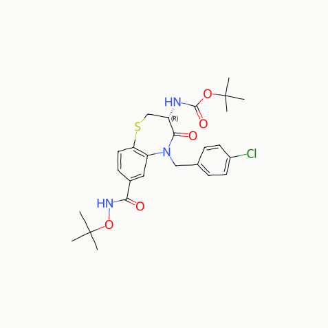 CC(C)(C)ONC(=O)c1ccc2c(c1)N(Cc1ccc(Cl)cc1)C(=O)[C@@H](NC(=O)OC(C)(C)C)CS2